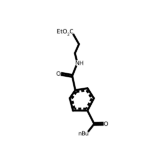 CCCCC(=O)c1ccc(C(=O)NCCC(=O)OCC)cc1